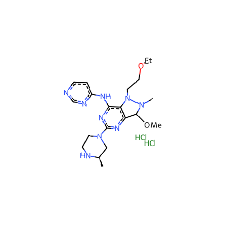 CCOCCN1c2c(Nc3ccncn3)nc(N3CCN[C@H](C)C3)nc2C(OC)N1C.Cl.Cl